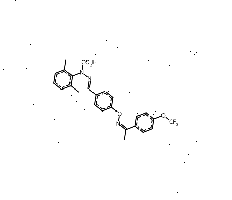 CC(=NOc1ccc(C=NN(C(=O)O)c2c(C)cccc2C)cc1)c1ccc(OC(F)(F)F)cc1